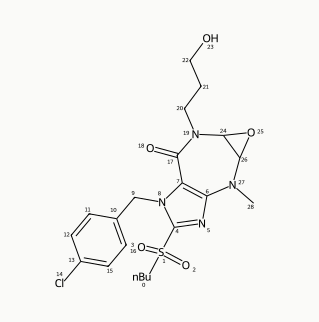 CCCCS(=O)(=O)c1nc2c(n1Cc1ccc(Cl)cc1)C(=O)N(CCCO)C1OC1N2C